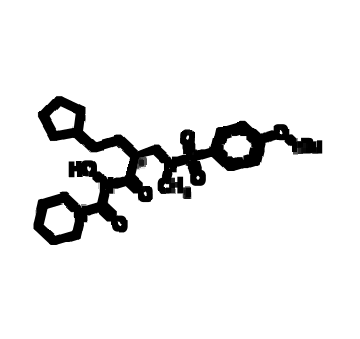 CCCCOc1ccc(S(=O)(=O)N(C)C[C@H](CCC2CCCC2)C(=O)N(O)C(=O)N2CCCCC2)cc1